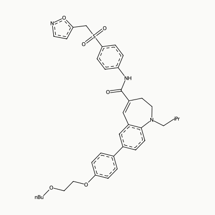 CCCCOCCOc1ccc(-c2ccc3c(c2)C=C(C(=O)Nc2ccc(S(=O)(=O)Cc4ccno4)cc2)CCN3CC(C)C)cc1